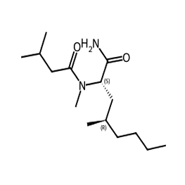 CCCC[C@@H](C)C[C@@H](C(N)=O)N(C)C(=O)CC(C)C